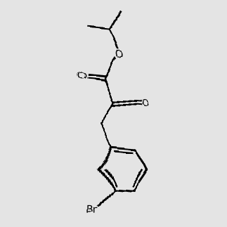 CC(C)OC(=O)C(=O)Cc1cccc(Br)c1